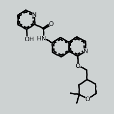 CC1(C)CC(COc2nccc3cc(NC(=O)c4ncccc4O)ccc23)CCO1